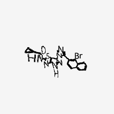 O=C(Nc1nc2[nH]nc(-n3cncc3-c3ccc4ccccc4c3Br)c2s1)C1CC1